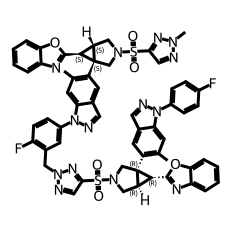 Cc1cc2c(cnn2-c2ccc(F)cc2)cc1[C@@]12CN(S(=O)(=O)c3cnn(Cc4cc(-n5ncc6cc([C@]78CN(S(=O)(=O)c9cnn(C)n9)C[C@H]7[C@@H]8c7nc8ccccc8o7)c(C)cc65)ccc4F)n3)C[C@@H]1[C@H]2c1nc2ccccc2o1